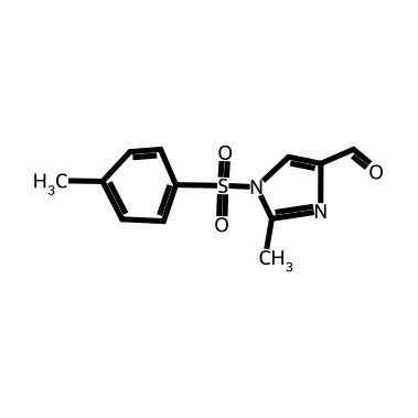 Cc1ccc(S(=O)(=O)n2cc(C=O)nc2C)cc1